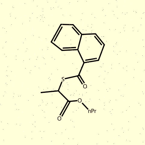 CCCOC(=O)C(C)SC(=O)c1cccc2ccccc12